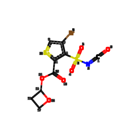 O=C=NS(=O)(=O)c1c(Br)csc1C(=O)OC1CCO1